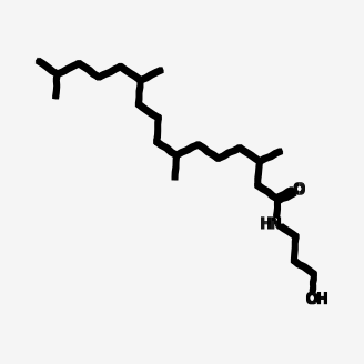 CC(C)CCCC(C)CCCC(C)CCCC(C)CC(=O)NCCCO